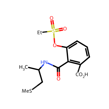 CCS(=O)(=O)Oc1cccc(C(=O)O)c1C(=O)NC(C)CSC